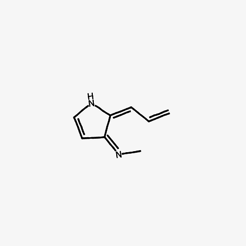 C=C/C=C1/NC=C/C1=N/C